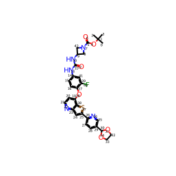 CC(C)(C)OC(=O)N1CC(NC(=O)Nc2ccc(Oc3ccnc4cc(-c5ccc(C6OCCO6)cn5)sc34)c(F)c2)C1